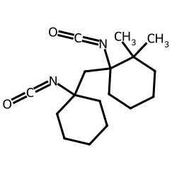 CC1(C)CCCCC1(CC1(N=C=O)CCCCC1)N=C=O